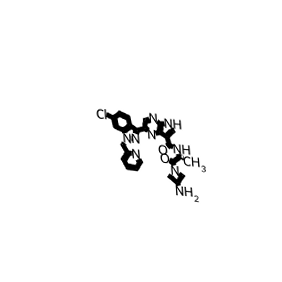 C[C@@H](NC(=O)c1c[nH]c2ncc(-c3nn(Cc4ccccn4)c4cc(Cl)ccc34)nc12)C(=O)N1CC(N)C1